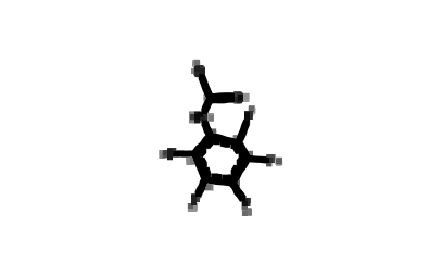 [O]C(=O)Nc1c(F)c(F)c(F)c(F)c1F